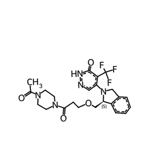 CC(=O)N1CCN(C(=O)CCOC[C@@H]2c3ccccc3CN2c2cn[nH]c(=O)c2C(F)(F)F)CC1